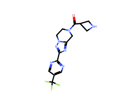 O=C(C1CNC1)N1CCn2nc(-c3ncc(C(F)(F)F)cn3)nc2C1